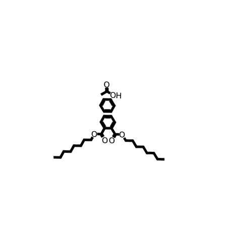 CC(=O)O.CCCCCCCCOC(=O)c1ccccc1C(=O)OCCCCCCCC.c1ccccc1